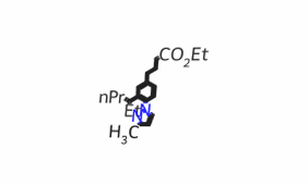 CCCC(CC)c1cc(CCCC(=O)OCC)ccc1-n1ccc(C)n1